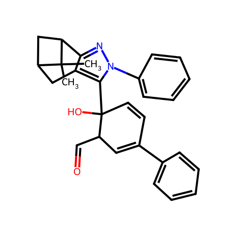 CC1(C)C2Cc3c(nn(-c4ccccc4)c3C3(O)C=CC(c4ccccc4)=CC3C=O)C1C2